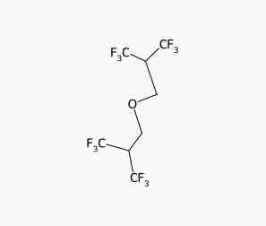 FC(F)(F)C(COCC(C(F)(F)F)C(F)(F)F)C(F)(F)F